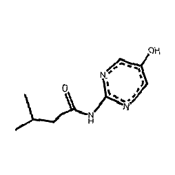 CC(C)CC(=O)Nc1ncc(O)cn1